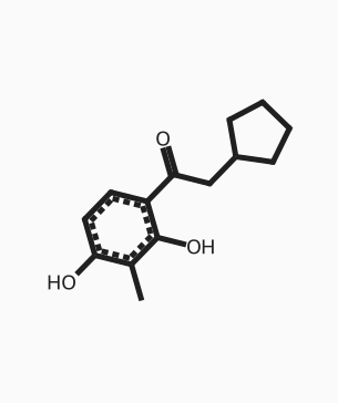 Cc1c(O)ccc(C(=O)CC2CCCC2)c1O